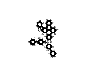 c1ccc(-c2ccc(N(c3ccc(-c4ccccc4)cc3)c3ccc(-c4cccc5c6ccccc6c6c(ccc7oc8ccccc8c76)c45)cc3)cc2)cc1